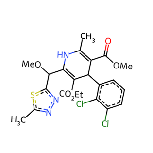 CCOC(=O)C1=C(C(OC)c2nnc(C)s2)NC(C)=C(C(=O)OC)C1c1cccc(Cl)c1Cl